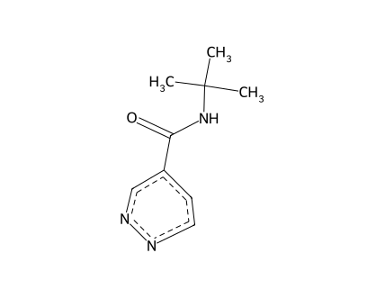 CC(C)(C)NC(=O)c1ccnnc1